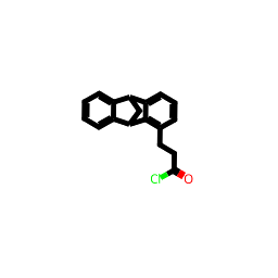 O=C(Cl)CCc1cccc2c1C1CC2c2ccccc21